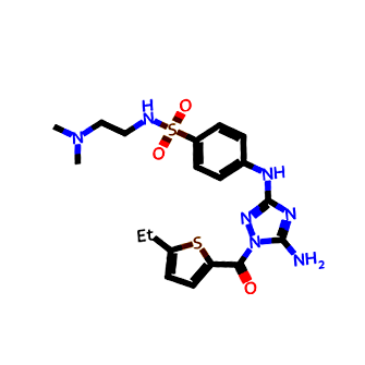 CCc1ccc(C(=O)n2nc(Nc3ccc(S(=O)(=O)NCCN(C)C)cc3)nc2N)s1